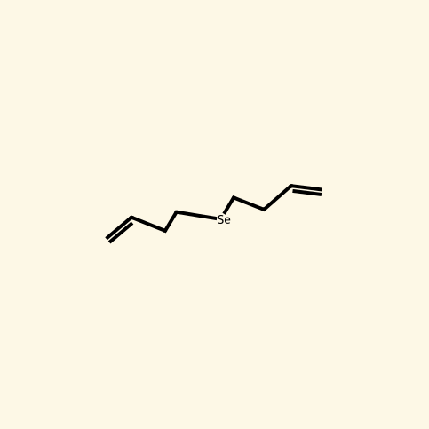 C=CCC[Se]CCC=C